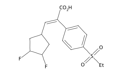 CCS(=O)(=O)c1ccc(/C(=C\C2CC(F)C(F)C2)C(=O)O)cc1